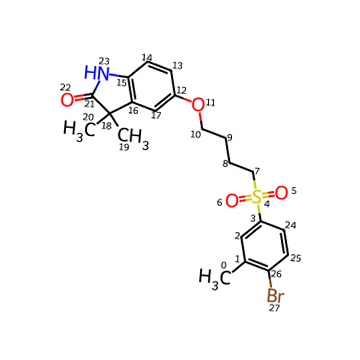 Cc1cc(S(=O)(=O)CCCCOc2ccc3c(c2)C(C)(C)C(=O)N3)ccc1Br